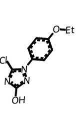 CCOc1ccc(-n2nc(O)nc2Cl)cc1